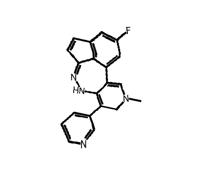 CN1C=C2C(=C(c3cccnc3)C1)NN=C1C=Cc3cc(F)cc2c31